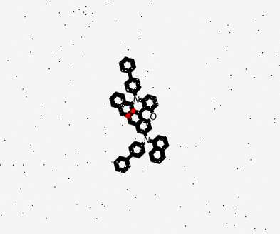 c1ccc(-c2ccc(N(c3cc4c5c(cccc5c3)-c3c(cccc3N(c3ccc(-c5ccccc5)cc3)c3cccc5ccccc35)O4)c3cccc4ccccc34)cc2)cc1